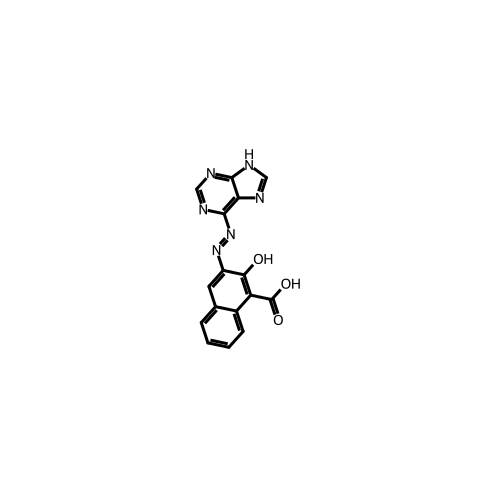 O=C(O)c1c(O)c(/N=N/c2ncnc3[nH]cnc23)cc2ccccc12